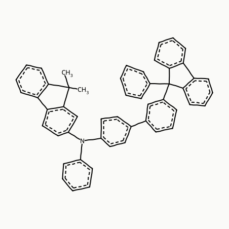 CC1(C)c2ccccc2-c2ccc(N(c3ccccc3)c3ccc(-c4cccc(C5(c6ccccc6)c6ccccc6-c6ccccc65)c4)cc3)cc21